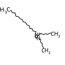 CCCCCCCCCCCCCCCC[n+]1ccn(CCCCCC)c1CCCCCC